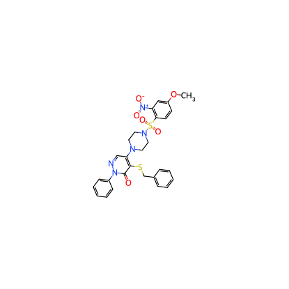 COc1ccc(S(=O)(=O)N2CCN(c3cnn(-c4ccccc4)c(=O)c3SCc3ccccc3)CC2)c([N+](=O)[O-])c1